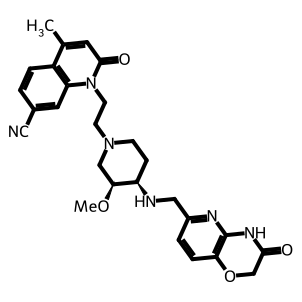 CO[C@H]1CN(CCn2c(=O)cc(C)c3ccc(C#N)cc32)CC[C@H]1NCc1ccc2c(n1)NC(=O)CO2